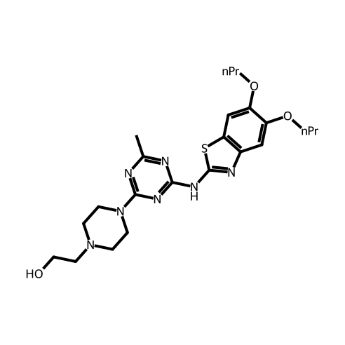 CCCOc1cc2nc(Nc3nc(C)nc(N4CCN(CCO)CC4)n3)sc2cc1OCCC